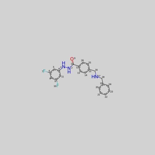 O=C(NNc1cc(F)cc(F)c1)c1ccc(CNCc2ccccc2)cc1